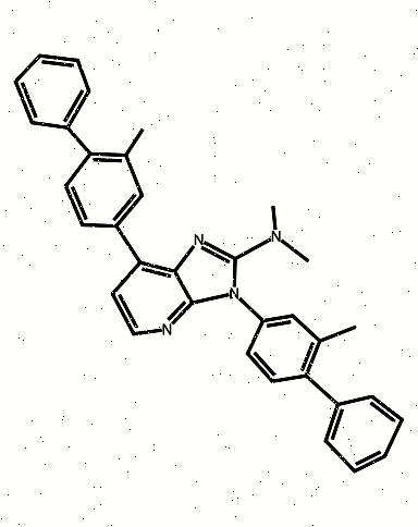 Cc1cc(-c2ccnc3c2nc(N(C)C)n3-c2ccc(-c3ccccc3)c(C)c2)ccc1-c1ccccc1